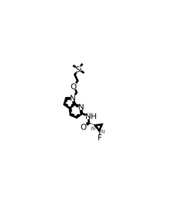 C[Si](C)(C)CCOCn1ccc2ccc(NC(=O)[C@@H]3C[C@@H]3F)nc21